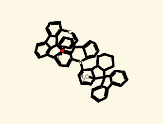 CC1/C=C\C=C/Cc2cccc3c2[C@@]12c1cc(N(C4=CC=CC5(C)C4C4CCCCC4C54c5ccccc5-c5ccccc54)c4ccccc4-c4ccccc4)ccc1-c1cccc-3c12